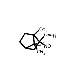 [2H]OC1(N=O)CC2CCC1(C)C2(C)C